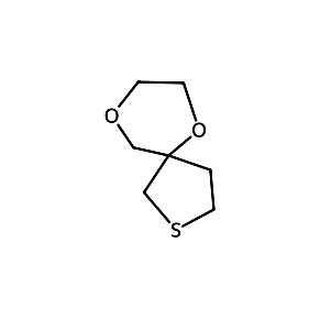 C1COC2(CCSC2)CO1